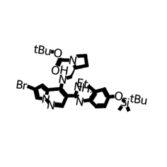 CCc1cc(O[Si](C)(C)C(C)(C)C)ccc1/N=C(\N)c1cnn2cc(Br)cc2c1NC[C@@H]1CCCN1C(=O)OC(C)(C)C